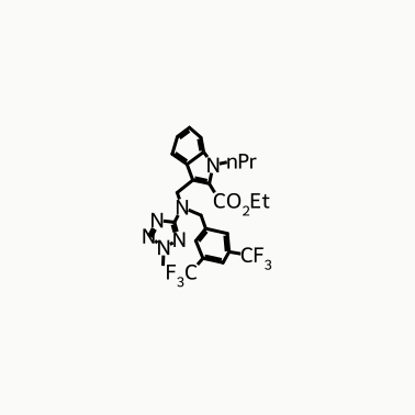 CCCn1c(C(=O)OCC)c(CN(Cc2cc(C(F)(F)F)cc(C(F)(F)F)c2)c2nnn(C)n2)c2ccccc21